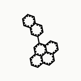 [c]1ccc2cc(-c3cc4cccc5ccc6cccc3c6c54)ccc2c1